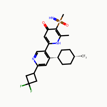 Cc1[nH]c(-c2cnc(C3CC(F)(F)C3)cc2[C@H]2CC[C@@H](C(F)(F)F)CC2)cc(=O)c1S(C)(=N)=O